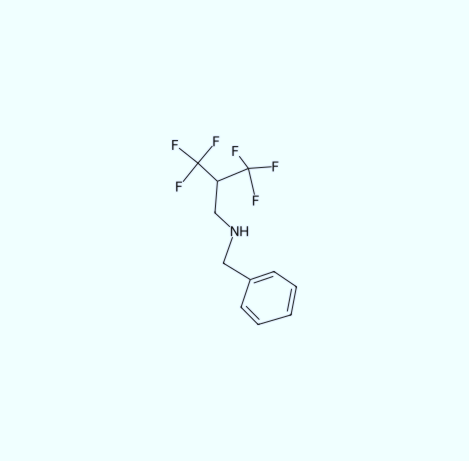 FC(F)(F)C(CNCc1ccccc1)C(F)(F)F